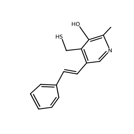 Cc1ncc(C=Cc2ccccc2)c(CS)c1O